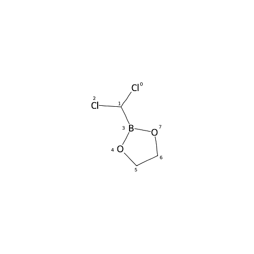 ClC(Cl)B1OCCO1